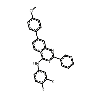 COc1ccc(-c2ccc3c(Nc4ccc(F)c(Cl)c4)nc(-c4cccnc4)nc3c2)cc1